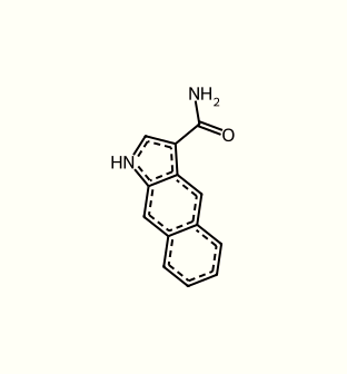 NC(=O)c1c[nH]c2cc3ccccc3cc12